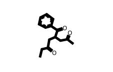 CCC(=O)CC(CC(C)=O)C(=O)c1ccccc1